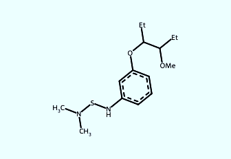 CCC(OC)C(CC)Oc1cccc(NSN(C)C)c1